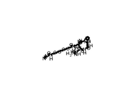 [N-]=[N+]=NCC(=O)NCCOCCOCCOCCOCCC(=O)NCCCC1C(=O)N[C@@H](CCCNC(=N)N)C(=O)NCC(=O)NCC(=O)N[C@@H](Cc2ccccc2)c2cn1nn2